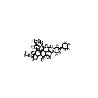 COC[C@H]1OC(=O)C(=CN2CCN(C3CCCCC3)CC2)C2=C(O)C(=O)C3=C([C@H](OC(C)=O)C[C@@]4(C)C3CC[C@@H]4O)[C@]21C